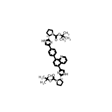 CC(C)(C)OC(=O)N1CCC[C@H]1c1nc(-c2ccc(-c3ccc(-c4c[nH]c([C@@H]5CCCN5C(=O)OC(C)(C)C)n4)c4cccnc34)cc2)c[nH]1